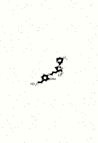 CCOc1nn(-c2cc(C(F)(F)F)ccn2)cc1CCCOc1ccc(CCC(=O)O)cc1OC